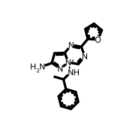 CC(N[N@@+]12C=NC(c3ccco3)=NC1=CC(N)=N2)c1ccccc1